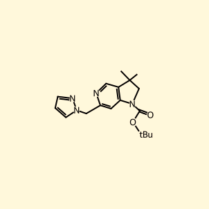 CC(C)(C)OC(=O)N1CC(C)(C)c2cnc(Cn3cccn3)cc21